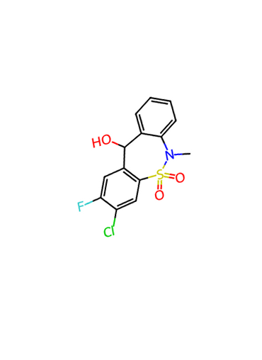 CN1c2ccccc2C(O)c2cc(F)c(Cl)cc2S1(=O)=O